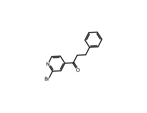 O=C(CCc1ccccc1)c1ccnc(Br)c1